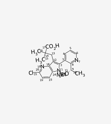 CCn1c(-c2cccnc2[C@H](C)OC)c(CC(C)(C)C(=O)O)c2nc(Cl)ccc21